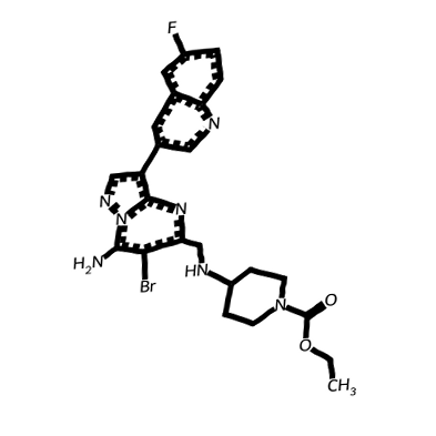 CCOC(=O)N1CCC(NCc2nc3c(-c4cnc5ccc(F)cc5c4)cnn3c(N)c2Br)CC1